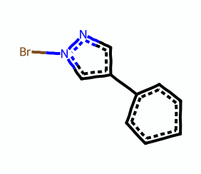 Brn1cc(-c2ccccc2)cn1